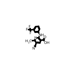 Cc1nc(Nc2cccc(C(F)(F)F)c2)c(C(=O)O)cc1C#N